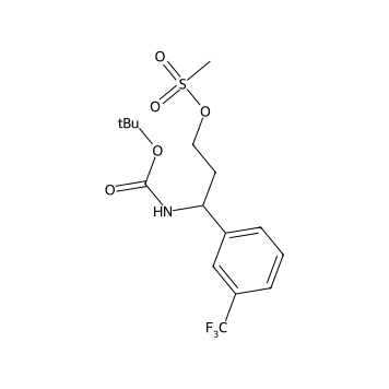 CC(C)(C)OC(=O)NC(CCOS(C)(=O)=O)c1cccc(C(F)(F)F)c1